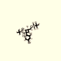 CC(C)(C)[S@@+]([O-])N[C@]1(c2ncc(Br)cc2F)C[C@](C)(CO[Si](C)(C)C(C)(C)C)C1